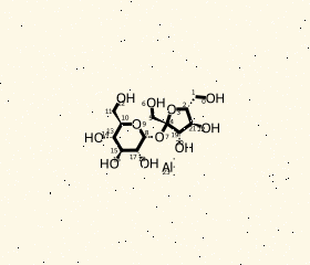 OC[C@H]1O[C@@](CO)(O[C@H]2O[C@H](CO)[C@@H](O)[C@H](O)[C@H]2O)[C@@H](O)[C@@H]1O.[Al]